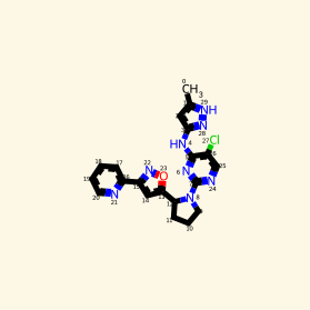 Cc1cc(Nc2nc(N3CCCC3c3cc(-c4ccccn4)no3)ncc2Cl)n[nH]1